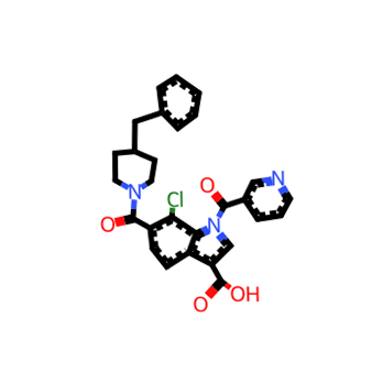 O=C(O)c1cn(C(=O)c2cccnc2)c2c(Cl)c(C(=O)N3CCC(Cc4ccccc4)CC3)ccc12